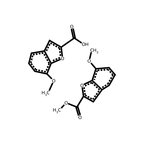 COC(=O)c1cc2cccc(OC)c2o1.COc1cccc2cc(C(=O)O)oc12